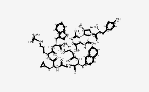 CNC(=N)NCCC[C@H](NC(=O)[C@H](CC1CC1)NC(=O)CNC(=O)[C@H](Cc1ccc2ccccc2c1)NC(=O)[C@@H](NC(=O)[C@H](CC(N)=O)NC(=O)[C@@H]1C[C@@H](O)CN1C(=O)[C@@H](Cc1ccc(O)cc1)NC(C)=O)[C@@H](C)O)C(=O)N[C@@H](Cc1c[nH]c2ccccc12)C(N)=O